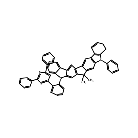 CC1(C)c2cc3c(cc2-c2cc4c5ccccc5n(-c5ccccc5-c5cc(-c6ccccc6)nc(-c6ccccc6)n5)c4cc21)c1c(n3-c2ccccc2)CCC=C1